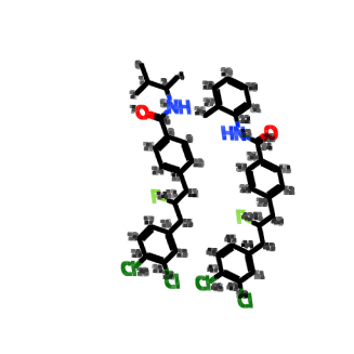 CC(C)C(C)NC(=O)c1ccc(CC(F)Cc2ccc(Cl)c(Cl)c2)cc1.Cc1ccccc1NC(=O)c1ccc(CC(F)Cc2ccc(Cl)c(Cl)c2)cc1